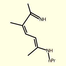 CCCN/C(C)=C/C=C(/C)C(C)=N